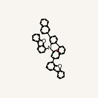 c1ccc(-c2ccc(-c3ccc4ccccc4c3)cc2N(c2cccc(-c3cccc4c3oc3ccccc34)c2)c2cccc3c2oc2ccccc23)cc1